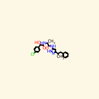 CC(NC(=O)C(O)c1ccc(Cl)cc1)C(=O)Nc1cc(C(C)Cc2ccccc2)n[nH]1